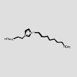 CCCCCCCCCCCCCCCCC[n+]1ccn(CCCCCCCCCCCC)c1